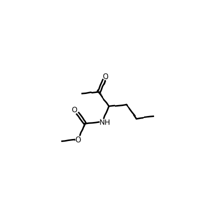 CCCC(NC(=O)OC)C(C)=O